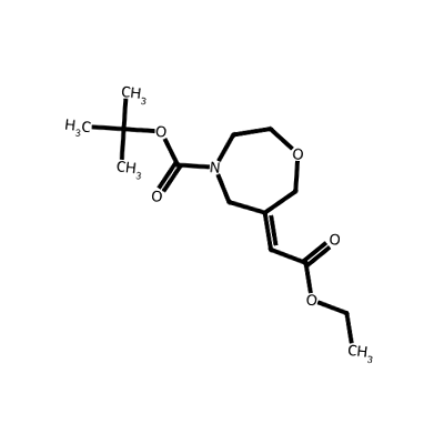 CCOC(=O)/C=C1\COCCN(C(=O)OC(C)(C)C)C1